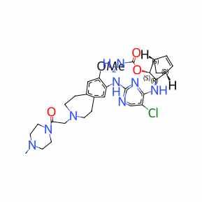 COc1cc2c(cc1Nc1ncc(Cl)c(N[C@H]3[C@@H](OC(N)=O)[C@@H]4C=C[C@H]3C4)n1)CCN(CC(=O)N1CCN(C)CC1)CC2